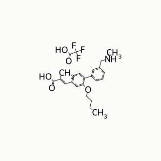 CCCCOc1cc(/C=C(\C)C(=O)O)ccc1-c1cccc(CNC)c1.O=C(O)C(F)(F)F